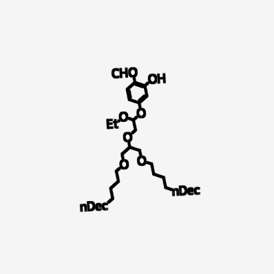 CCCCCCCCCCCCCCOCC(COCCCCCCCCCCCCCC)OCC(OCC)Oc1ccc(C=O)c(O)c1